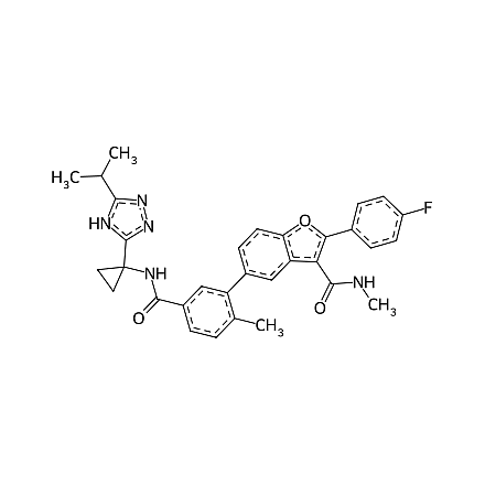 CNC(=O)c1c(-c2ccc(F)cc2)oc2ccc(-c3cc(C(=O)NC4(c5nnc(C(C)C)[nH]5)CC4)ccc3C)cc12